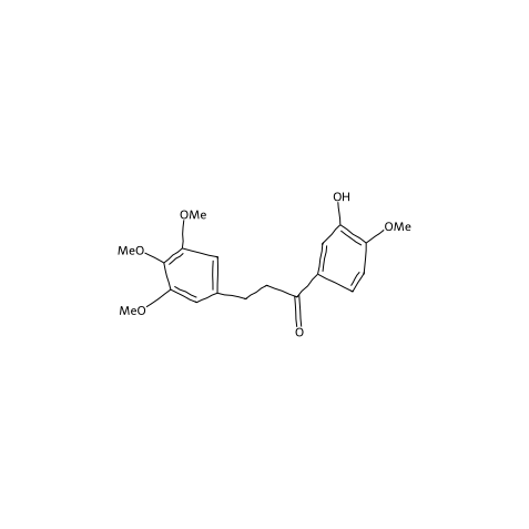 COc1ccc(C(=O)CCc2cc(OC)c(OC)c(OC)c2)cc1O